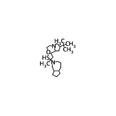 CC(C)(C)C1CC2C(CC(C)(S)N3CCCC4CCCC4C3)OCCN2C1